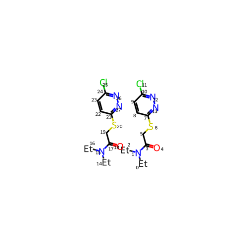 CCN(CC)C(=O)CSc1ccc(Cl)nn1.CCN(CC)C(=O)CSc1ccc(Cl)nn1